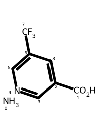 N.O=C(O)c1cncc(C(F)(F)F)c1